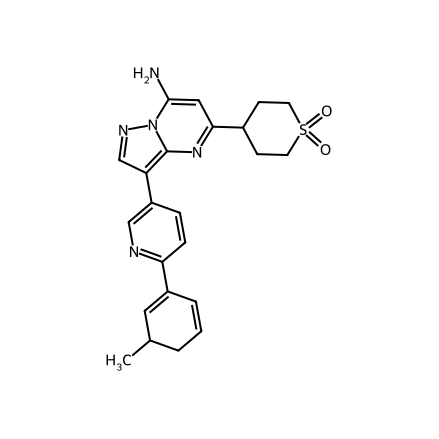 CC1C=C(c2ccc(-c3cnn4c(N)cc(C5CCS(=O)(=O)CC5)nc34)cn2)C=CC1